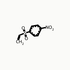 C=CS(=O)(=O)c1ccc([N+](=O)[O-])cc1